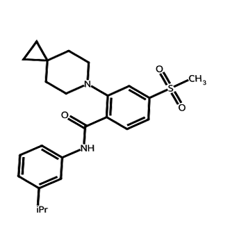 CC(C)c1cccc(NC(=O)c2ccc(S(C)(=O)=O)cc2N2CCC3(CC2)CC3)c1